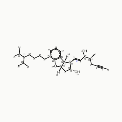 CC#CC[C@H](C)[C@H](O)/C=C/[C@@H]1[C@H]2c3cccc(CCCCN(C(C)C)C(C)C)c3O[C@H]2C[C@H]1O